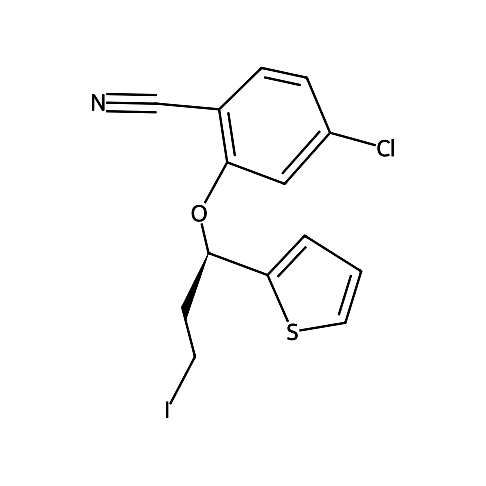 N#Cc1ccc(Cl)cc1O[C@H](CCI)c1cccs1